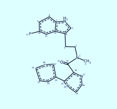 CN(CCc1c[nH]c2ccc(F)cc12)C(=O)c1nccnc1-c1ccccc1